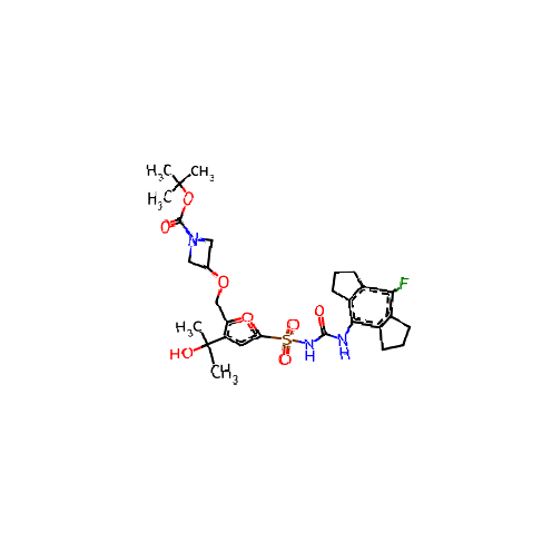 CC(C)(C)OC(=O)N1CC(OCc2oc(S(=O)(=O)NC(=O)Nc3c4c(c(F)c5c3CCC5)CCC4)cc2C(C)(C)O)C1